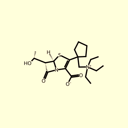 CC[N+](CC)(CC)CC1(C2=C(C(=O)[O-])N3C(=O)[C@H]([C@@H](C)O)[C@H]3S2)CCCC1